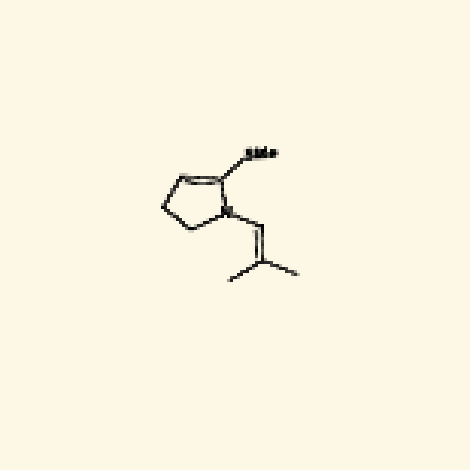 CSC1=CCCN1C=C(C)C